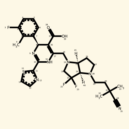 Cc1c(F)cccc1[C@@H]1N=C(c2nccs2)NC(CN2CC(F)(F)[C@H]3[C@@H]2CCN3CCC(C)(C)C#N)=C1C(=O)O